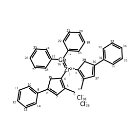 CC1=[C]([Zr+2]([C]2=C(C)C=C(c3ccccc3)C2)=[Ge]([c]2ccccc2)[c]2ccccc2)CC(c2ccccc2)=C1.[Cl-].[Cl-]